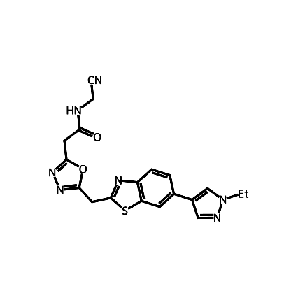 CCn1cc(-c2ccc3nc(Cc4nnc(CC(=O)NCC#N)o4)sc3c2)cn1